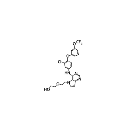 OCCOCCn1ccc2ncnc(Nc3ccc(Oc4cccc(OC(F)(F)F)c4)c(Cl)c3)c21